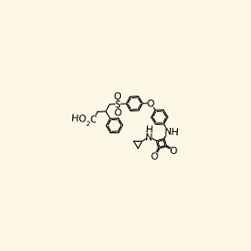 O=C(O)CC(CS(=O)(=O)c1ccc(Oc2ccc(Nc3c(NC4CC4)c(=O)c3=O)cc2)cc1)c1ccccc1